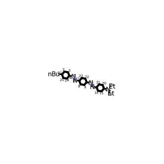 CCCCc1ccc(/N=N/c2ccc(/N=N/c3ccc(N(CC)CC)cc3)cc2)cc1